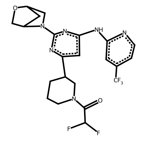 O=C(C(F)F)N1CCCC(c2cc(Nc3cc(C(F)(F)F)ccn3)nc(N3CC4CC3CO4)n2)C1